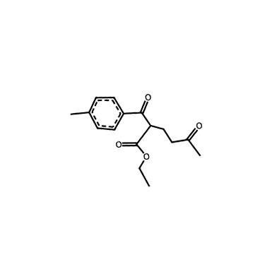 CCOC(=O)C(CCC(C)=O)C(=O)c1ccc(C)cc1